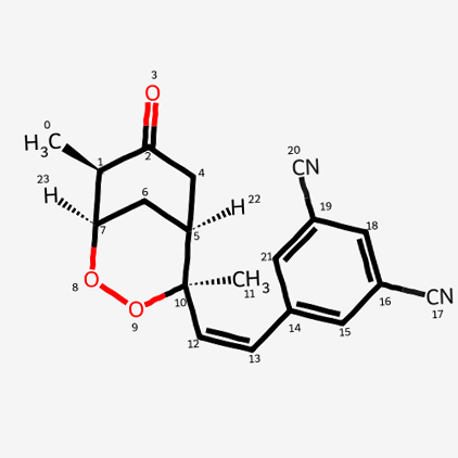 C[C@H]1C(=O)C[C@@H]2C[C@H]1OO[C@]2(C)/C=C\c1cc(C#N)cc(C#N)c1